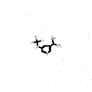 CC(O)c1cncc(OC(F)(F)F)c1